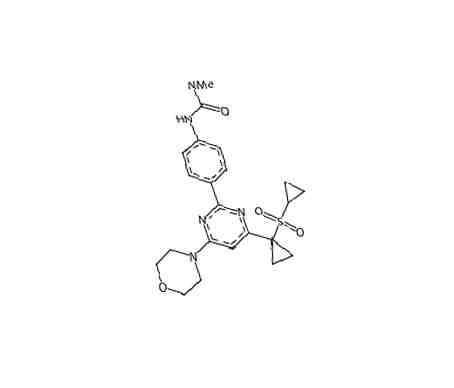 CNC(=O)Nc1ccc(-c2nc(N3CCOCC3)cc(C3(S(=O)(=O)C4CC4)CC3)n2)cc1